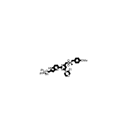 CC[C@H]1COCCN1c1cc(CS(=O)(=O)N(C)Cc2ccc(OC)cc2)nc(-c2ccc3[nH]c(CO[Si](C(C)C)(C(C)C)C(C)C)cc3n2)n1